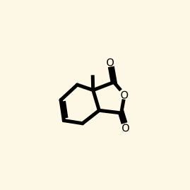 CC12CC=CCC1C(=O)OC2=O